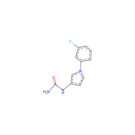 NC(=O)Nc1ccn(-c2cccc(F)c2)c1